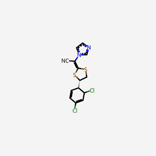 N#C/C(=C1/SC[C@H](C2C=CC(Cl)=CC2Cl)S1)n1ccnc1